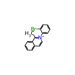 Cc1c2ccccc2cc[n+]1-c1ccccc1Br